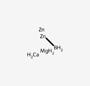 [BH2][Zn].[CaH2].[MgH2].[Zn]